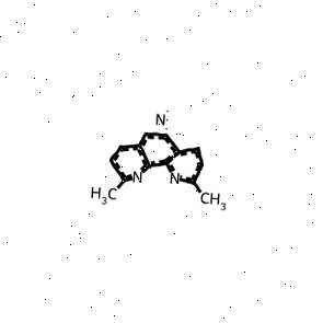 Cc1ccc2ccc3ccc(C)nc3c2n1.[N]